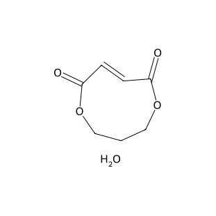 O.O=C1/C=C/C(=O)OCCCO1